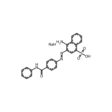 Nc1c(N=Nc2ccc(C(=O)Nc3ccccc3)cc2)cc(S(=O)(=O)O)c2ccccc12.[NaH]